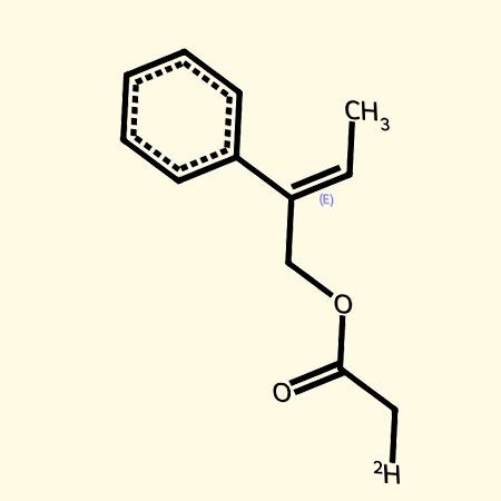 [2H]CC(=O)OC/C(=C/C)c1ccccc1